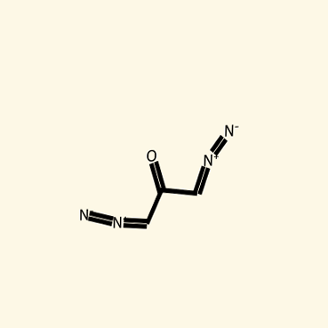 [N-]=[N+]=CC(=O)C=[N+]=[N-]